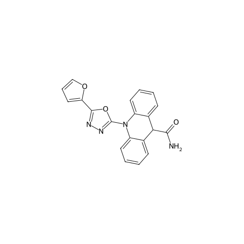 NC(=O)C1c2ccccc2N(c2nnc(-c3ccco3)o2)c2ccccc21